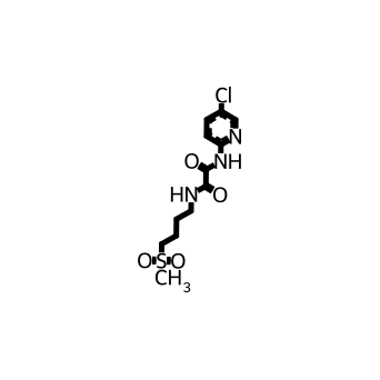 CS(=O)(=O)CCCCNC(=O)C(=O)Nc1ccc(Cl)cn1